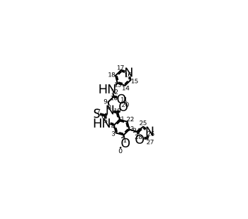 COc1cc2[nH]c(=S)n(CC(=O)Nc3ccncc3)c(=O)c2cc1-c1cnco1